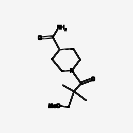 COCC(C)(C)C(=O)N1CCC(C(N)=O)CC1